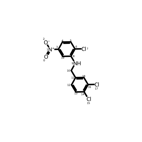 O=[N+]([O-])c1ccc(Cl)c(NCc2ccc(Cl)c(Cl)c2)c1